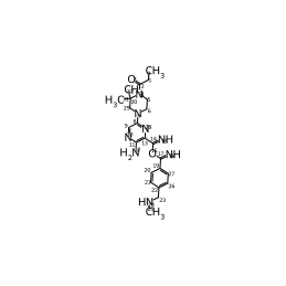 CCC(=O)N1CCN(c2cnc(N)c(C(=N)OC(=N)c3ccc(CNC)cc3)n2)CC1(C)C